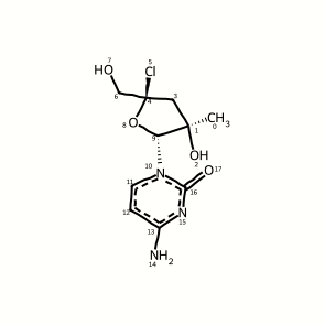 C[C@@]1(O)C[C@@](Cl)(CO)O[C@H]1n1ccc(N)nc1=O